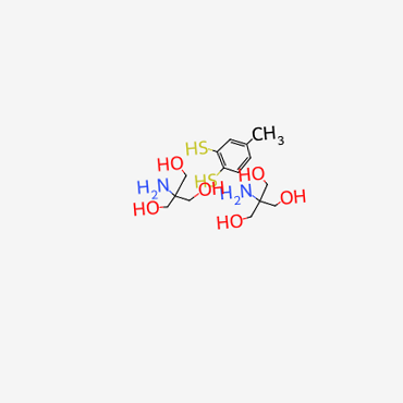 Cc1ccc(S)c(S)c1.NC(CO)(CO)CO.NC(CO)(CO)CO